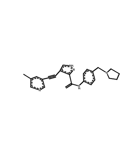 C=C(Nc1ccc(CN2CCCC2)cc1)c1n[nH]cc1C#Cc1cncc(C)c1